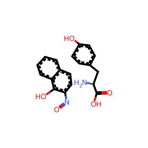 N[C@@H](Cc1ccc(O)cc1)C(=O)O.O=Nc1ccc2ccccc2c1O